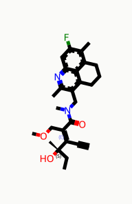 C#C/C(=C(/COC)C(=O)N(C)Cc1c(C)nc2cc(F)c(C)c3c2c1CCC3)[C@@](C)(O)CC